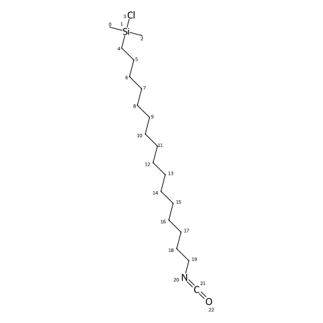 C[Si](C)(Cl)CCCCCCCCCCCCCCCCN=C=O